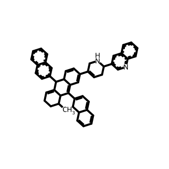 CC1CCC=C2C1C(C1=CC=C3C=CC=CC3C1)=C1C=C(C3=CCC(c4cnc5ccccc5c4)NC3)C=CC1C2c1ccc2ccccc2c1